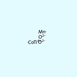 [Co].[Mn].[O-2].[O-2].[Ti+4]